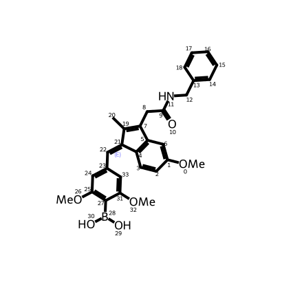 COc1ccc2c(c1)C(CC(=O)NCc1ccccc1)=C(C)/C2=C/c1cc(OC)c(B(O)O)c(OC)c1